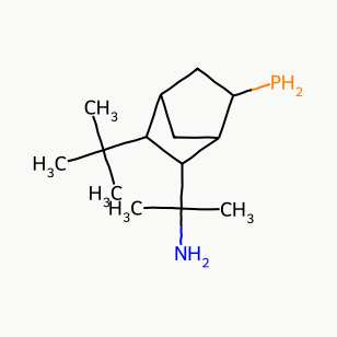 CC(C)(C)C1C2CC(P)C(C2)C1C(C)(C)N